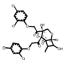 CC1C(O)[C@H]2O[CH][C@@](O)(C(=O)COc3ccc(Cl)cc3Cl)[C@](O)(C(=O)COc3ccc(Cl)cc3Cl)[C@@]12O